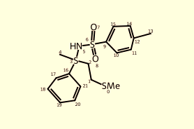 CSCCS(C)(NS(=O)(=O)c1ccc(C)cc1)c1ccccc1